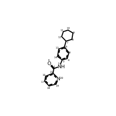 O=C(Nc1ccc(C2CCCCC2)cc1)c1ccccn1